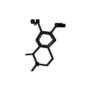 COc1cc2c(cc1[N+](=O)[O-])C(C)N(C)CC2